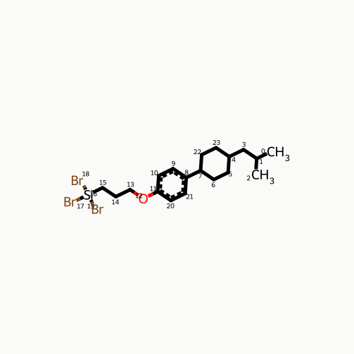 CC(C)CC1CCC(c2ccc(OCCC[Si](Br)(Br)Br)cc2)CC1